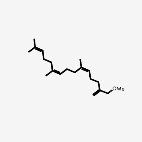 C=C(CCC=C(C)CCC=C(C)CCC=C(C)C)COC